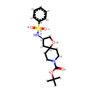 CC(C)(C)OC(=O)N1CCC2(CC1)C[C@@H](NS(=O)(=O)c1ccccc1)CO2